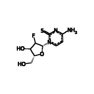 Nc1ccn([C@@H]2O[C@H](CO)C(O)C2F)c(=S)n1